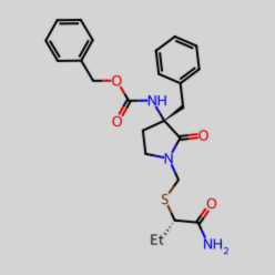 CC[C@H](SCN1CC[C@](Cc2ccccc2)(NC(=O)OCc2ccccc2)C1=O)C(N)=O